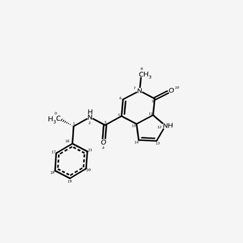 C[C@H](NC(=O)C1=CN(C)C(=O)C2NC=CC12)c1ccccc1